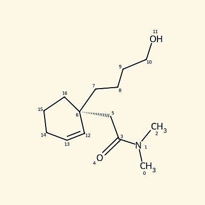 CN(C)C(=O)C[C@]1(CCCCO)C=CCCC1